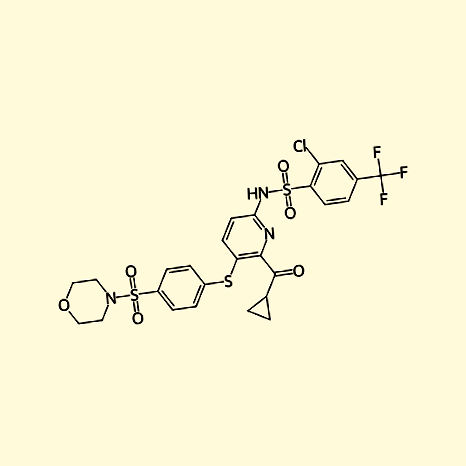 O=C(c1nc(NS(=O)(=O)c2ccc(C(F)(F)F)cc2Cl)ccc1Sc1ccc(S(=O)(=O)N2CCOCC2)cc1)C1CC1